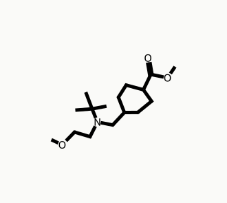 COCCN(CC1CCC(C(=O)OC)CC1)C(C)(C)C